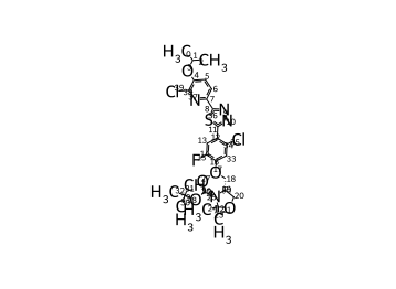 CC(C)Oc1ccc(-c2nnc(-c3cc(F)c(OC[C@@H]4COC(C)(C)N4C(=O)OC(C)(C)C)cc3Cl)s2)nc1Cl